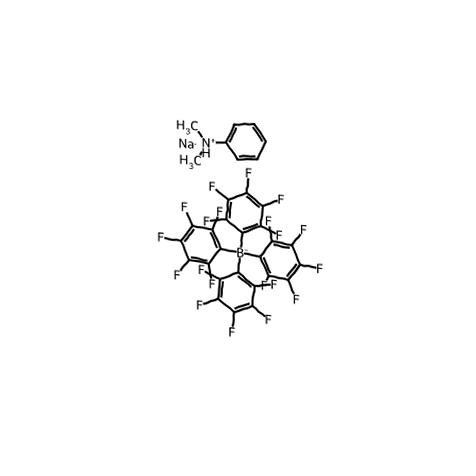 C[NH+](C)c1ccccc1.Fc1c(F)c(F)c([B-](c2c(F)c(F)c(F)c(F)c2F)(c2c(F)c(F)c(F)c(F)c2F)c2c(F)c(F)c(F)c(F)c2F)c(F)c1F.[Na]